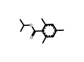 Cc1cc(C)c(C(=O)OC(C)C)c(C)c1